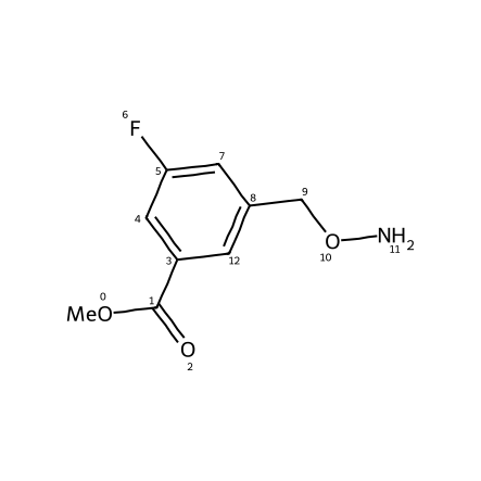 COC(=O)c1cc(F)cc(CON)c1